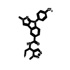 Cn1cc2c3cc(C(=O)NC(CF)c4cnnn4C)ccc3n(-c3ccc(C(F)(F)F)cc3)c2n1